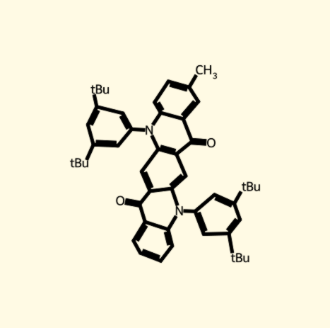 Cc1ccc2c(c1)c(=O)c1cc3c(cc1n2-c1cc(C(C)(C)C)cc(C(C)(C)C)c1)c(=O)c1ccccc1n3-c1cc(C(C)(C)C)cc(C(C)(C)C)c1